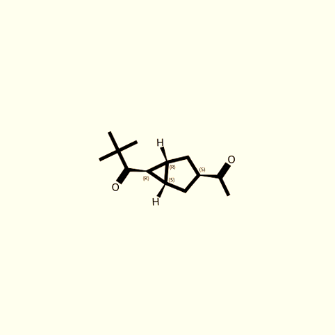 CC(=O)[C@@H]1C[C@@H]2[C@H](C1)[C@H]2C(=O)C(C)(C)C